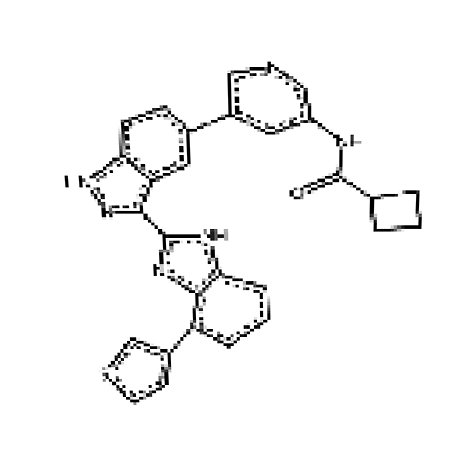 O=C(Nc1cncc(-c2ccc3[nH]nc(-c4nc5c(-c6ccsc6)cccc5[nH]4)c3c2)c1)C1CCC1